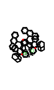 C[SiH](C)[Zr]([Cl])([Cl])([CH]1C(CC23CC4CC(CC(C4)C2)C3)=Cc2c(-c3c4ccccc4cc4ccccc34)ccc(-c3c4ccccc4cc4ccccc34)c21)[CH]1C(CC23CC4CC(CC(C4)C2)C3)=Cc2c(-c3c4ccccc4cc4ccccc34)ccc(-c3c4ccccc4cc4ccccc34)c21